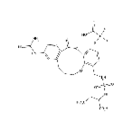 N=C(N)Nc1ccc2c(c1)CCCOc1c(CNS(=O)(=O)NC(CC(=O)O)C(=O)O)cccc1OC2=O.O=C(O)C(F)(F)F